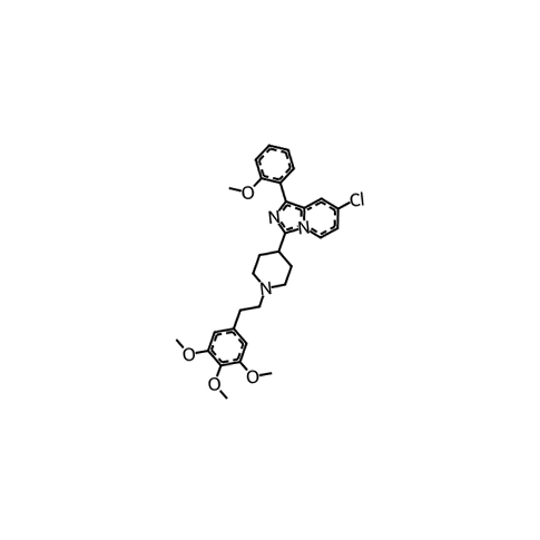 COc1ccccc1-c1nc(C2CCN(CCc3cc(OC)c(OC)c(OC)c3)CC2)n2ccc(Cl)cc12